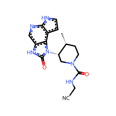 C[C@@H]1CCN(C(=O)NCC#N)C[C@@H]1n1c(=O)[nH]c2cnc3[nH]ccc3c21